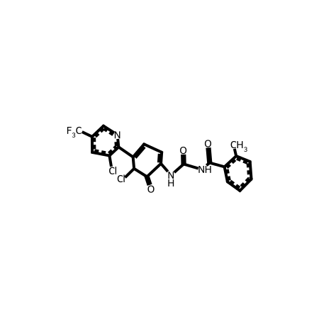 Cc1ccccc1C(=O)NC(=O)NC1=CC=C(c2ncc(C(F)(F)F)cc2Cl)C(Cl)C1=O